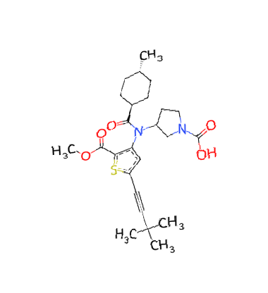 COC(=O)c1sc(C#CC(C)(C)C)cc1N(C(=O)[C@H]1CC[C@H](C)CC1)C1CCN(C(=O)O)C1